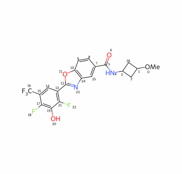 COC1CC(NC(=O)c2ccc3oc(-c4cc(C(F)(F)F)c(F)c(O)c4F)nc3c2)C1